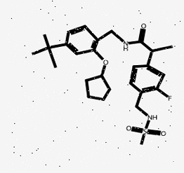 CC(C(=O)NCc1ccc(C(C)(C)C)cc1OC1CCCC1)c1ccc(CNS(C)(=O)=O)c(F)c1